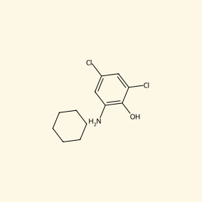 C1CCCCC1.Nc1cc(Cl)cc(Cl)c1O